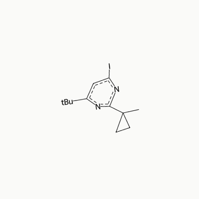 CC(C)(C)c1cc(I)nc(C2(C)CC2)n1